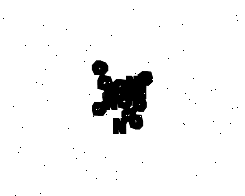 N#Cc1ccc(-c2cccc(-c3nc(-c4ccccc4)nc(-c4ccc(-c5cc(-c6ccccc6)ccc5-c5cc(-c6ccccc6)nc(-c6ccccc6)n5)cc4)n3)c2)c2ccccc12